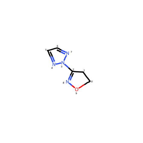 [CH]1CC(n2nccn2)=NO1